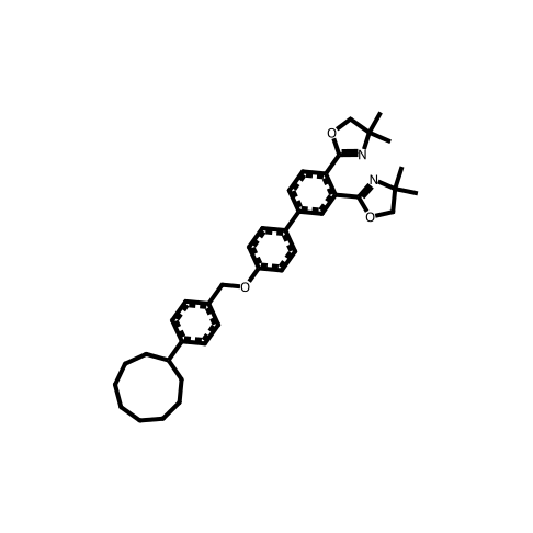 CC1(C)COC(c2ccc(-c3ccc(OCc4ccc(C5CCCCCCCC5)cc4)cc3)cc2C2=NC(C)(C)CO2)=N1